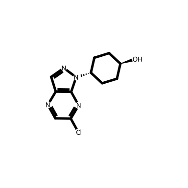 O[C@H]1CC[C@H](n2ncc3ncc(Cl)nc32)CC1